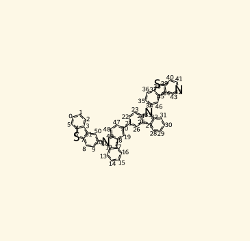 c1ccc2c(c1)sc1ccc(-n3c4ccccc4c4cc(-c5ccc6c(c5)c5ccccc5n6-c5ccc6sc7ccncc7c6c5)ccc43)cc12